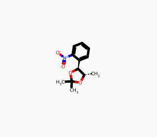 [CH2][C@@H]1OC(C)(C)O[C@H]1c1ccccc1[N+](=O)[O-]